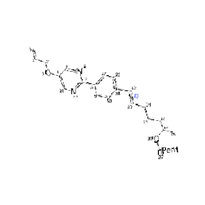 C=CCOc1cnc(-c2ccc(/C=C/CCCC(C)OCCCCC)cc2)nc1